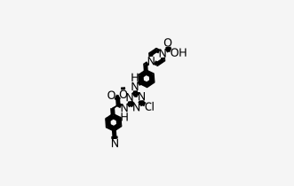 COC(=O)[C@H](Cc1ccc(C#N)cc1)Nc1nc(Cl)nc(Nc2cccc(CN3CCN(C(=O)O)CC3)c2)n1